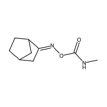 CNC(=O)ON=C1CC2CCC1C2